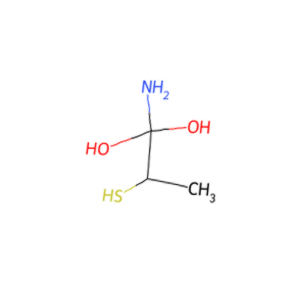 CC(S)C(N)(O)O